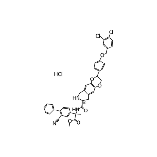 COC(=O)C(C)(NC(=O)[C@@H]1Cc2cc3c(cc2CN1)OC(c1ccc(OCc2ccc(Cl)c(Cl)c2)cc1)CO3)c1ccc(-c2ccccc2)c(C#N)c1.Cl